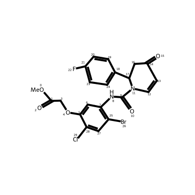 COC(=O)COc1cc(NC(=O)N2C=CC(=O)CC2c2ccc(F)cc2)c(Br)cc1Cl